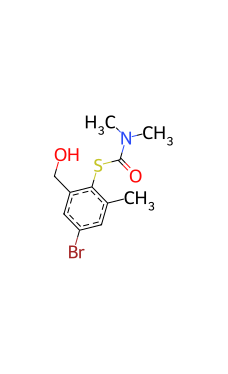 Cc1cc(Br)cc(CO)c1SC(=O)N(C)C